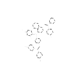 COc1ccc(N(c2ccc(C=C(c3ccc(C)cc3)c3ccc(C)cc3)cc2)c2ccc(C=C(c3ccc(C)cc3)c3ccc(C)cc3)c3ccccc23)c(C)c1